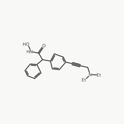 CCN(CC)CC#Cc1ccc(C(C(=O)NO)c2ccccc2)cc1